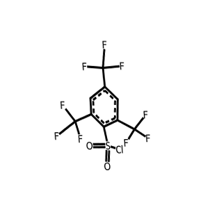 O=S(=O)(Cl)c1c(C(F)(F)F)cc(C(F)(F)F)cc1C(F)(F)F